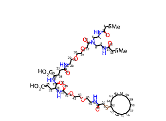 CSCC(=O)NCCN(CCNC(=O)CSC)C(=O)COCCOCCNC(=O)CC[C@H](NC(=O)C(CCC(=O)O)NC(=O)COCCOCCNC(=O)CSC1CCCCCCCCCCCC1)C(=O)O